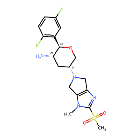 Cn1c(S(C)(=O)=O)nc2c1CN([C@H]1CO[C@H](c3cc(F)ccc3F)[C@@H](N)C1)C2